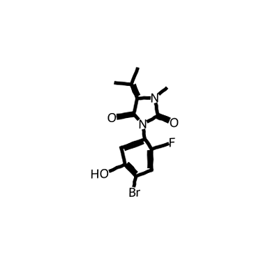 CC(C)=C1C(=O)N(c2cc(O)c(Br)cc2F)C(=O)N1C